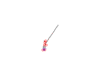 CCCCCCCCCCCCCCCCCCCCCCC(OC(C)=O)C(=O)Oc1ccc([N+](=O)[O-])cc1